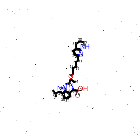 CC(C)c1nn(C)c2c(C(C(=O)O)N3CC(OCCCCCc4ccc5c(n4)NCCC5)C3)cccc12